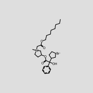 CCCCCCCCOC(=O)C[N+]1(C)CCC(OC(=O)C(O)(c2ccccc2)C2CCCC2)C1.[Br-]